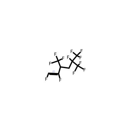 F/C=C(\F)C(CC(F)(C(F)(F)F)C(F)(F)F)C(F)(F)F